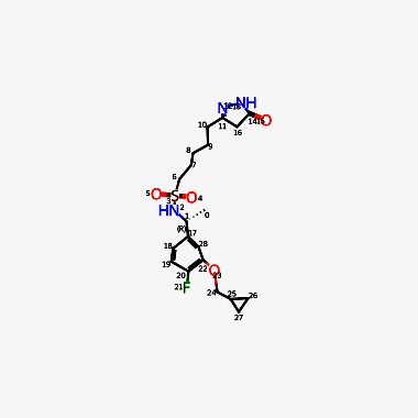 C[C@@H](NS(=O)(=O)CCCCCC1=NNC(=O)C1)c1ccc(F)c(OCC2CC2)c1